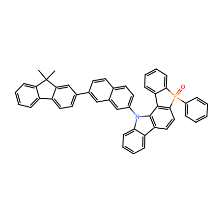 CC1(C)c2ccccc2-c2ccc(-c3ccc4ccc(-n5c6ccccc6c6ccc7c(c65)-c5ccccc5P7(=O)c5ccccc5)cc4c3)cc21